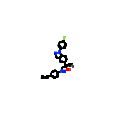 COc1ccc(NCC(O)(c2ccc3c(cnn3-c3ccc(F)cc3)c2)C(F)(F)F)cc1